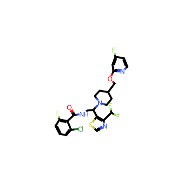 O=C(NCC(c1scnc1C(F)F)N1CCC(COc2cc(F)ccn2)CC1)c1c(F)cccc1Cl